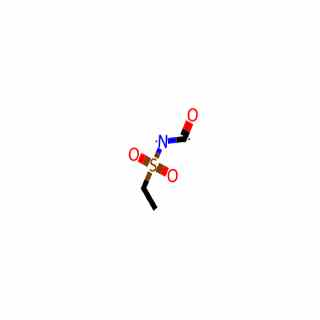 CCS(=O)(=O)[N][C]=O